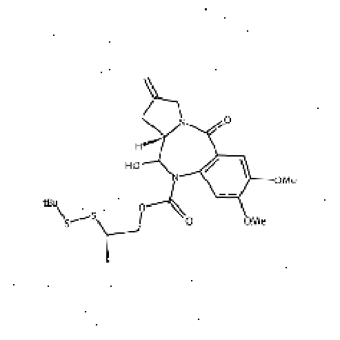 C=C1C[C@H]2C(O)N(C(=O)OC[C@@H](C)SSC(C)(C)C)c3cc(OC)c(OC)cc3C(=O)N2C1